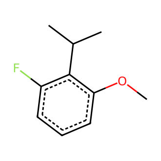 COc1cccc(F)c1C(C)C